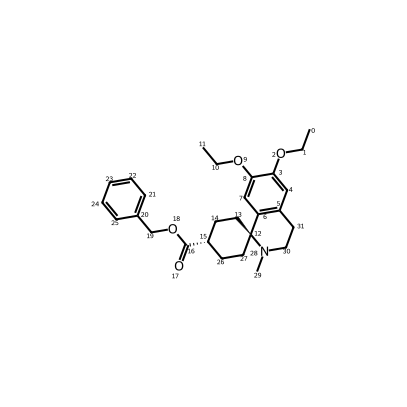 CCOc1cc2c(cc1OCC)[C@]1(CC[C@@H](C(=O)OCc3ccccc3)CC1)N(C)CC2